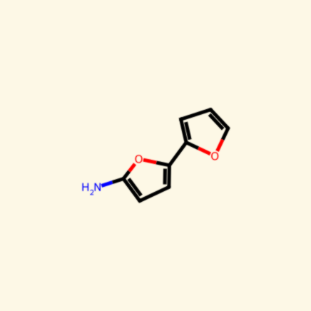 Nc1ccc(-c2ccco2)o1